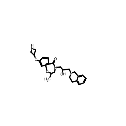 CC1CN(CC(O)CN2CCc3ccccc3C2)C(=O)c2ccc(OC3CNC3)cc2O1